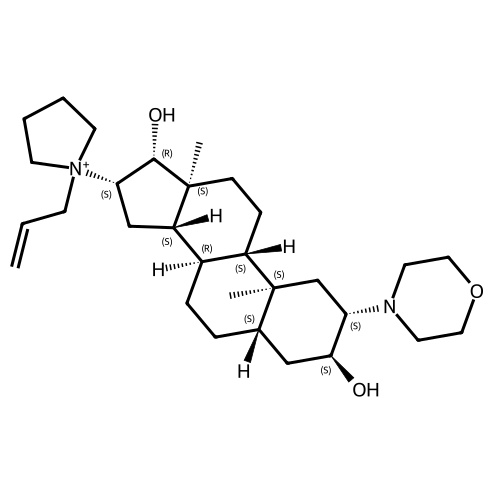 C=CC[N+]1([C@H]2C[C@H]3[C@@H]4CC[C@H]5C[C@H](O)[C@@H](N6CCOCC6)C[C@]5(C)[C@H]4CC[C@]3(C)[C@H]2O)CCCC1